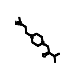 CNCCN1CCN(CC(=O)C(C)C)CC1